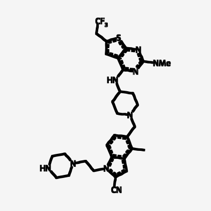 CNc1nc(NC2CCN(Cc3ccc4c(cc(C#N)n4CCN4CCNCC4)c3C)CC2)c2cc(CC(F)(F)F)sc2n1